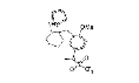 COc1ccc(N(C)S(=O)(=O)C(F)(F)F)cc1CC1(c2ccccc2)CCCCN1N